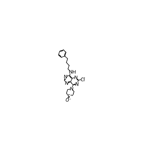 [O-][S+]1CCN(c2nc(Cl)nc3c(NCCCCc4ccccc4)ncnc23)CC1